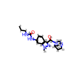 CCCNC(=O)Nc1ccc2c(C(=O)N3CCN4CCC3CC4)nn(C)c2c1